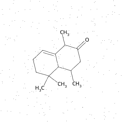 CC1C(=O)CC(C)C2C1=CCCC2(C)C